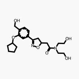 O=C(CC1CC(c2ccc(CO)c(OC3CCCC3)c2)=NO1)N(CCO)CCO